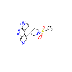 O=S(=O)(CC(F)(F)F)N1CCC(c2cncc3nnc4[nH]ccc4c23)C1